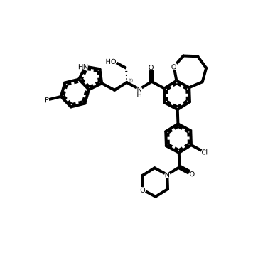 O=C(N[C@@H](CO)Cc1c[nH]c2cc(F)ccc12)c1cc(-c2ccc(C(=O)N3CCOCC3)c(Cl)c2)cc2c1OCCCC2